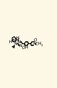 Cn1ccc(-c2ccc(-c3cnc(N(C4CC4)[C@@H]4C[C@H]5CC[C@H](N5)[C@@H]4F)cn3)c(O)c2)cc1=O